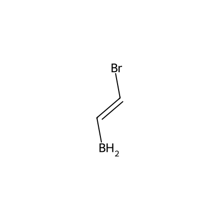 BC=CBr